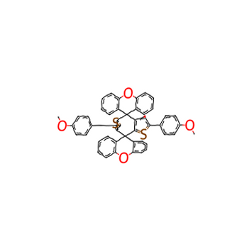 COc1ccc(-c2cc3c(s2)C2(c4ccccc4Oc4ccccc42)c2cc(-c4ccc(OC)cc4)sc2C32c3ccccc3Oc3ccccc32)cc1